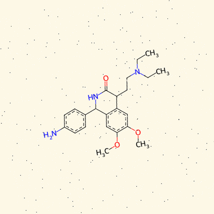 CCN(CC)CCC1C(=O)NC(c2ccc(N)cc2)c2cc(OC)c(OC)cc21